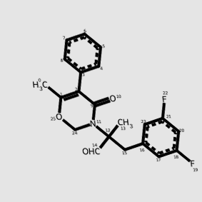 CC1=C(c2ccccc2)C(=O)N(C(C)(C=O)Cc2cc(F)cc(F)c2)CO1